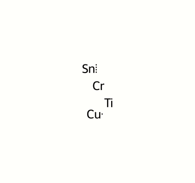 [Cr].[Cu].[Sn].[Ti]